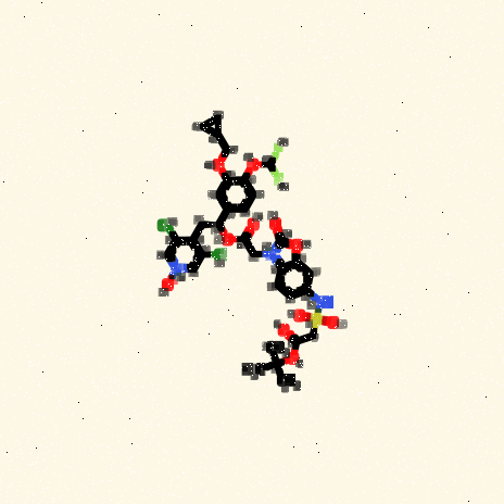 CC(C)(C)OC(=O)CS(=O)(=O)Nc1ccc2c(c1)oc(=O)n2CC(=O)O[C@@H](Cc1c(Cl)c[n+]([O-])cc1Cl)c1ccc(OC(F)F)c(OCC2CC2)c1